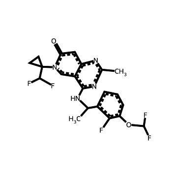 Cc1nc(NC(C)c2cccc(OC(F)F)c2F)c2cn(C3(C(F)F)CC3)c(=O)cc2n1